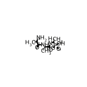 CC(NC(=O)[C@H](C)NC(=O)[C@H](C)N)P(=O)(O)O